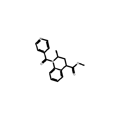 COC(=O)C1CC(C)N(C(=O)c2ccncc2)c2ccccc21